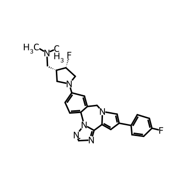 CN(C)C[C@H]1CN(c2ccc3c(c2)Cn2cc(-c4ccc(F)cc4)cc2-c2ncnn2-3)C[C@H]1F